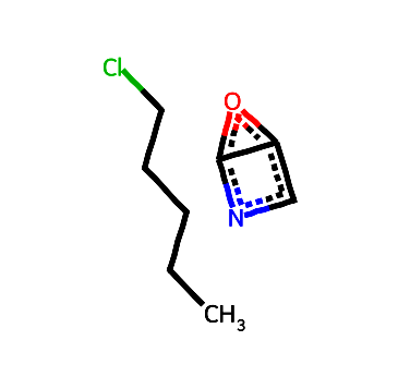 CCCCCCl.c1nc2oc1-2